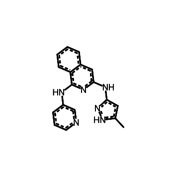 Cc1cc(Nc2cc3ccccc3c(Nc3cccnc3)n2)n[nH]1